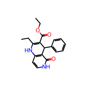 CCOC(=O)C1=C(CC)Nc2cc[nH]c(=O)c2C1c1ccccc1